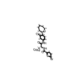 COC[C@@H](NC(=O)c1ccc(Br)s1)C(=O)Nc1ccc(N2CCCCCO2)c(Cl)c1